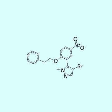 Cn1ncc(Br)c1-c1cc([N+](=O)[O-])ccc1OCCc1ccccc1